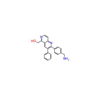 NCc1ccc(-c2nc3ccnc(CO)c3cc2-c2ccccc2)cc1